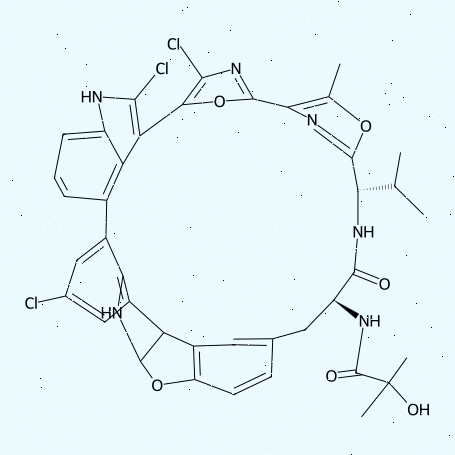 Cc1oc2nc1-c1nc(Cl)c(o1)-c1c(Cl)[nH]c3cccc(c13)-c1cc(Cl)cc3c1NC1Oc4ccc(cc4C31)C[C@H](NC(=O)C(C)(C)O)C(=O)N[C@H]2C(C)C